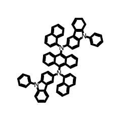 C1=Cc2c(n(-c3ccccc3)c3ccc(N(c4cccc5ccccc45)c4c5ccccc5c(N(c5ccc6c(c5)c5ccccc5n6-c5ccccc5)c5cccc6ccccc56)c5ccccc45)cc23)CC1